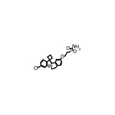 NS(=O)(=O)CCCOc1ccc2c(c1)C(C1(c3ccc(Cl)cc3)CCC1)NCC2